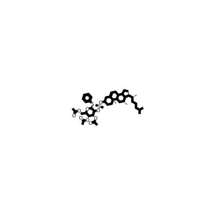 CC(=O)OCC1O[C@@H](Sc2ccccc2)C(O[Si](C)(C)OC2CC[C@@]3(C)C(=CCC4C5CC[C@H]([C@H](C)CCCC(C)C)C5[C@H](C)CC43)C2)[C@@H](OC(C)=O)[C@@H]1OC(C)=O